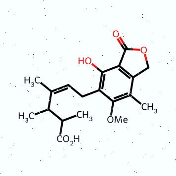 COc1c(C)c2c(c(O)c1CC=C(C)C(C)C(C)C(=O)O)C(=O)OC2